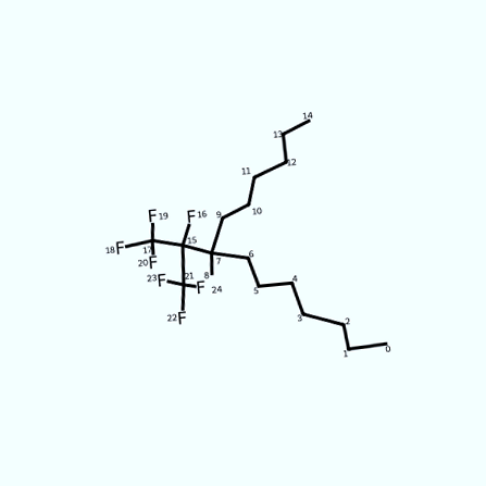 CCCCCCCC(C)(CCCCCC)C(F)(C(F)(F)F)C(F)(F)F